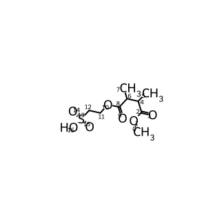 COC(=O)C(C)C(C)C(=O)OCCS(=O)(=O)O